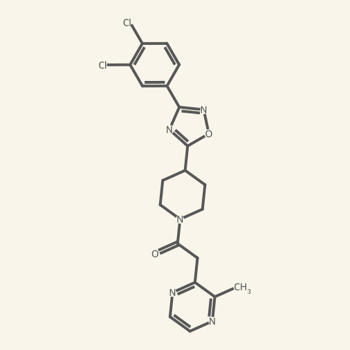 Cc1nccnc1CC(=O)N1CCC(c2nc(-c3ccc(Cl)c(Cl)c3)no2)CC1